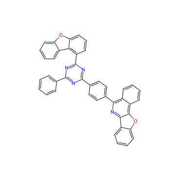 c1ccc(-c2nc(-c3ccc(-c4nc5c6ccccc6oc5c5ccccc45)cc3)nc(-c3cccc4oc5ccccc5c34)n2)cc1